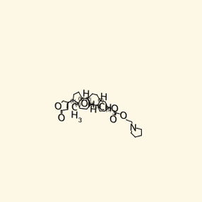 C[C@]12CC[C@H](OC(=O)OCCN3CCCC3)C[C@H]1CC[C@@H]1[C@@H]2CC[C@]2(C)[C@@H](C3=CC(=O)OC3)CC[C@]12O